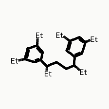 CCc1cc(CC)cc(C(CC)CCC(CC)c2cc(CC)cc(CC)c2)c1